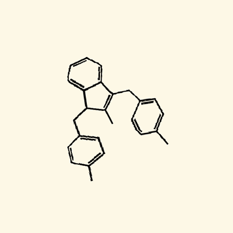 CC1=C(Cc2ccc(C)cc2)c2ccccc2C1Cc1ccc(C)cc1